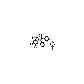 COc1cc2c(cc1OC)/C(=C(/Nc1ccc(CN3CCNCC3)cc1)c1ccccc1)C(=O)N2